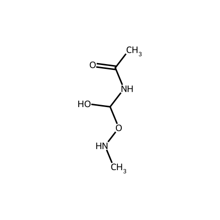 CNOC(O)NC(C)=O